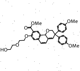 COC(=O)c1cc2c(cc1OCCOCCO)C=CC1=CC(c3ccc(OC)cc3)(c3ccc(OC)cc3)COC12